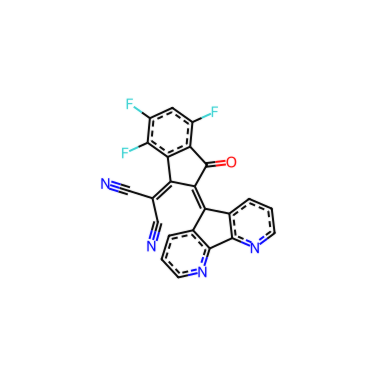 N#CC(C#N)=C1C(=C2c3cccnc3-c3ncccc32)C(=O)c2c(F)cc(F)c(F)c21